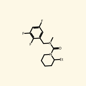 CCC1CCCCN1C(=O)N(C)Cc1cc(F)cc(F)c1F